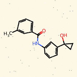 Cc1cccc(C(=O)Nc2cccc(C3(O)CC3)c2)c1